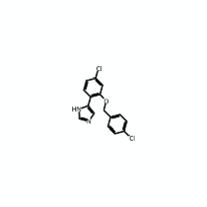 Clc1ccc(COc2cc(Cl)ccc2-c2cnc[nH]2)cc1